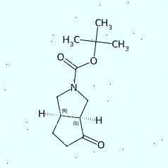 CC(C)(C)OC(=O)N1C[C@@H]2CCC(=O)[C@@H]2C1